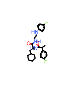 CC(C(=O)N[C@@H](CC1CCCCC1)C(=O)NCCNc1ccc(F)cc1)c1ccc(F)cc1